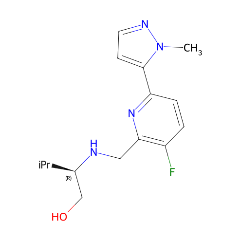 CC(C)[C@H](CO)NCc1nc(-c2ccnn2C)ccc1F